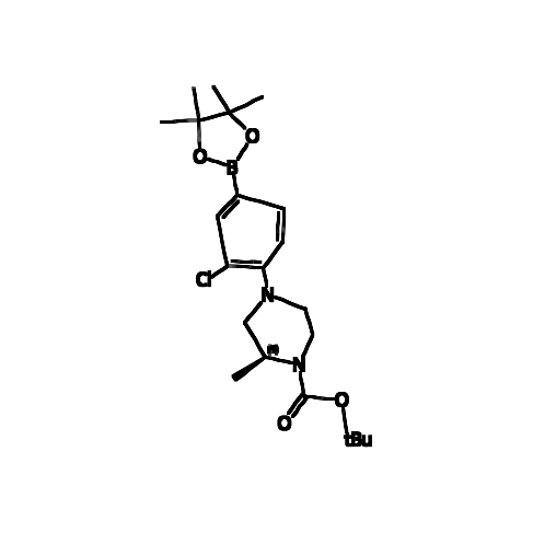 C[C@H]1CN(c2ccc(B3OC(C)(C)C(C)(C)O3)cc2Cl)CCN1C(=O)OC(C)(C)C